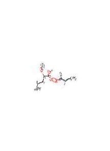 C=CCOC(=O)C(CCC(C)C)OCC